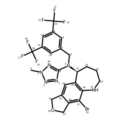 Cn1nnc(N(Cc2cc(C(F)(F)F)cc(C(F)(F)F)c2)[C@H]2CCCNc3c2cc2c(c3Br)COC2)n1